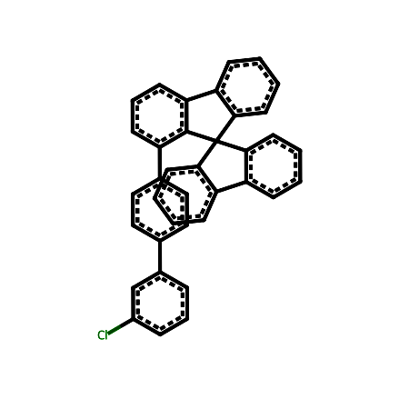 Clc1cccc(-c2ccc(-c3cccc4c3C3(c5ccccc5-c5ccccc53)c3ccccc3-4)cc2)c1